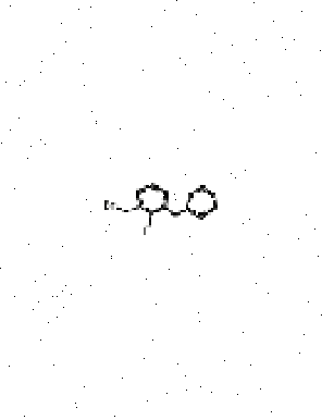 Fc1c(CBr)cccc1Cc1ccccc1